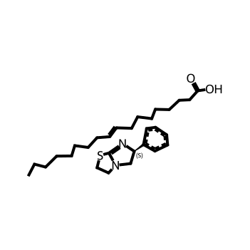 CCCCCCCCC=CCCCCCCCC(=O)O.c1ccc([C@H]2CN3CCSC3=N2)cc1